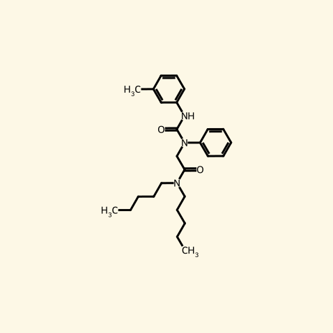 CCCCCN(CCCCC)C(=O)CN(C(=O)Nc1cccc(C)c1)c1ccccc1